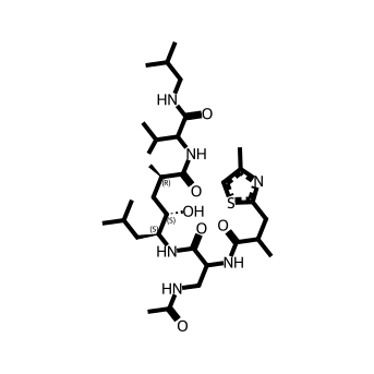 CC(=O)NCC(NC(=O)C(C)Cc1nc(C)cs1)C(=O)N[C@@H](CC(C)C)[C@@H](O)C[C@@H](C)C(=O)NC(C(=O)NCC(C)C)C(C)C